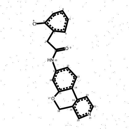 O=C(Cc1ccccc1Cl)Nc1ccc2c(c1)OCc1cnccc1-2